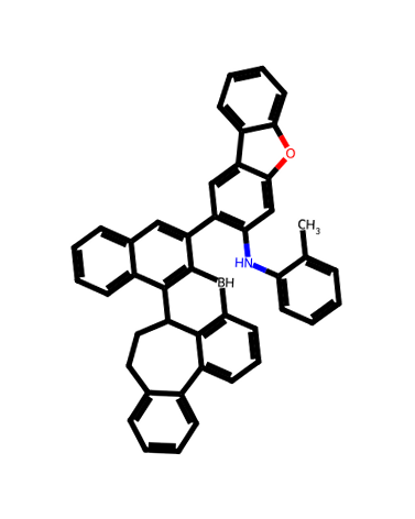 Cc1ccccc1Nc1cc2oc3ccccc3c2cc1-c1cc2ccccc2c2c1Bc1cccc3c1C2CCc1ccccc1-3